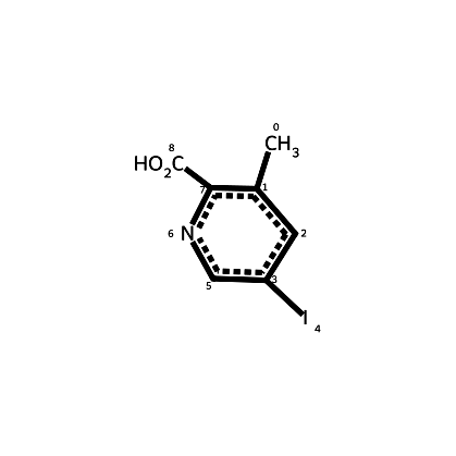 Cc1cc(I)cnc1C(=O)O